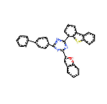 c1ccc(-c2ccc(-c3nc(-c4cc5ccccc5o4)nc(-c4cccc5c4sc4ccccc45)n3)cc2)cc1